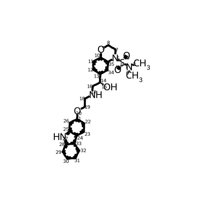 CN(C)S(=O)(=O)N1CCOc2ccc([C@@H](O)CNCCOc3ccc4c(c3)[nH]c3ccccc34)cc21